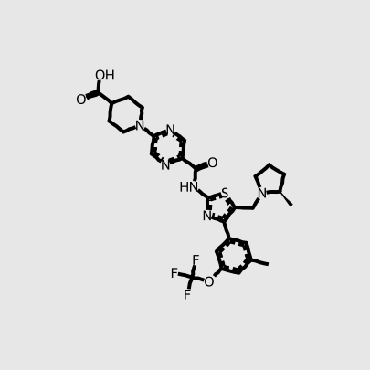 Cc1cc(OC(F)(F)F)cc(-c2nc(NC(=O)c3cnc(N4CCC(C(=O)O)CC4)cn3)sc2CN2CCC[C@H]2C)c1